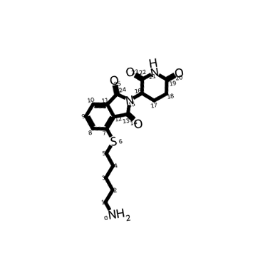 NCCCCCSc1cccc2c1C(=O)N(C1CCC(=O)NC1=O)C2=O